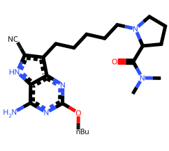 CCCCOc1nc(N)c2[nH]c(C#N)c(CCCCCN3CCCC3C(=O)N(C)C)c2n1